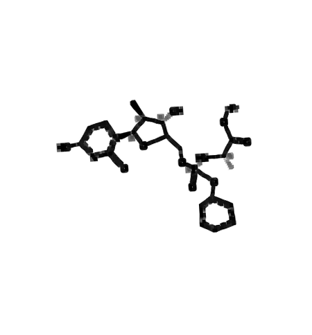 CCCOC(=O)[C@H](C)N[P@](=O)(OCC1O[C@@H](n2ccc(O)nc2=O)[C@@H](C)[C@@H]1O)Oc1ccccc1